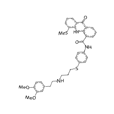 COc1ccc(CCNCCCSc2ccc(NC(=O)c3cccc4c(=O)c5cccc(SC)c5[nH]c34)cc2)cc1OC